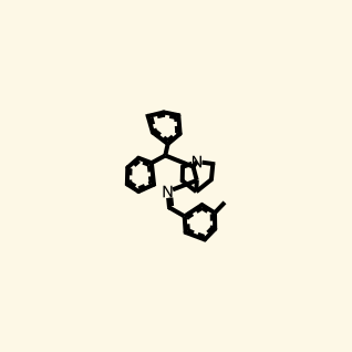 Cc1cccc(/C=N\C2C3CCN(CC3)C2C(c2ccccc2)c2ccccc2)c1